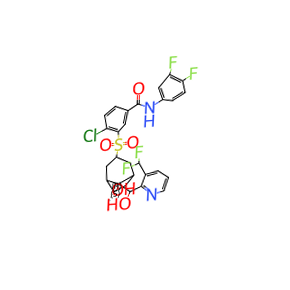 C[C@H]1CC2CC(S(=O)(=O)c3cc(C(=O)Nc4ccc(F)c(F)c4)ccc3Cl)CC1[C@@]2(O)C(O)c1ncccc1C(F)F